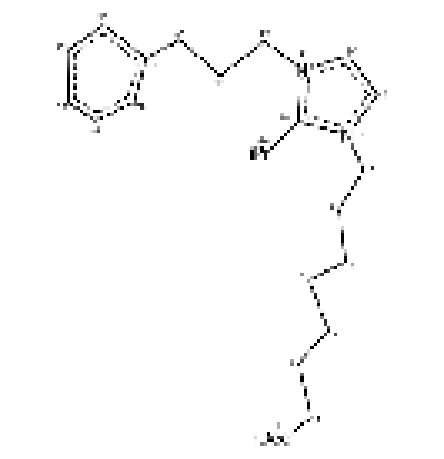 CCCCCCCCCCCCCCCCCn1cc[n+](CCCc2ccccc2)c1C(C)C